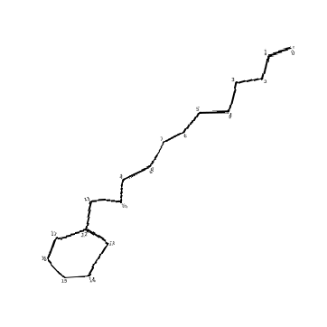 [CH2]CCCCCCCCCCCC1CCCCC1